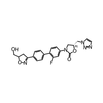 O=C1O[C@@H](Cn2ccnn2)CN1c1ccc(-c2ccc(C3=NOC(CO)C3)cc2)c(F)c1